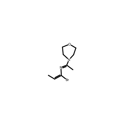 C/C=C(Br)\N=C(/C)N1CCOCC1